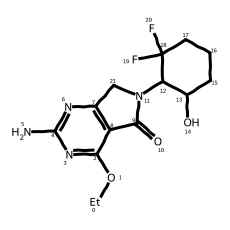 CCOc1nc(N)nc2c1C(=O)N(C1C(O)CCCC1(F)F)C2